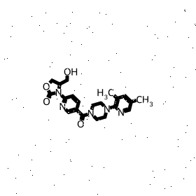 Cc1cnc(N2CCN(C(=O)c3ccc(N4C(=O)OCC4CO)nc3)CC2)c(C)c1